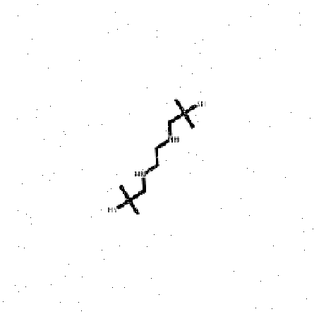 CC(C)(S)CNCCNCC(C)(C)S